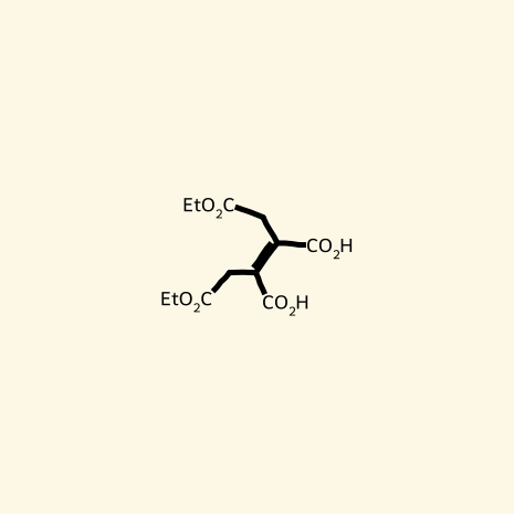 CCOC(=O)CC(C(=O)O)=C(CC(=O)OCC)C(=O)O